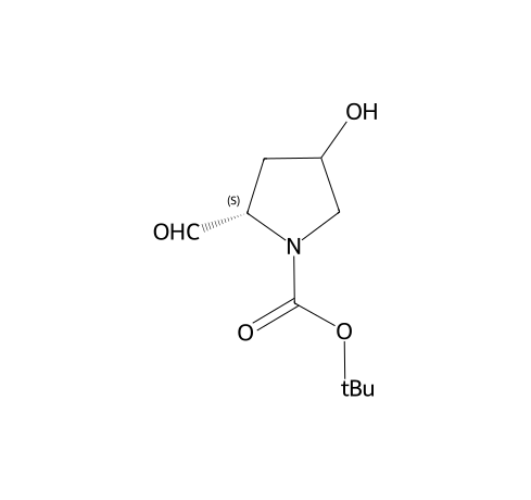 CC(C)(C)OC(=O)N1CC(O)C[C@H]1C=O